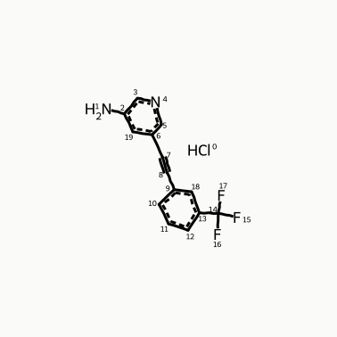 Cl.Nc1cncc(C#Cc2cccc(C(F)(F)F)c2)c1